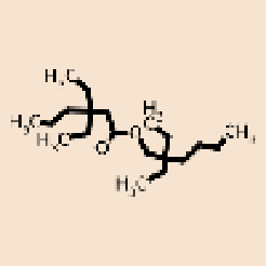 CCCCC(CC)(CC)COC([O])CC(CC)(CC)CCC